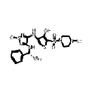 CCN1CCN(S(=O)(=O)c2scc(Nc3n[s+]([O-])nc3N[C@@H](c3ccccc3)C(C)(C)C)c2O)CC1